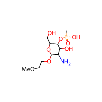 COCCOC1OC(CO)C(OP(C)(=O)O)C(O)C1N